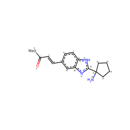 COC(=O)C=Cc1ccc2[nH]c(C3(N)CCCC3)nc2c1